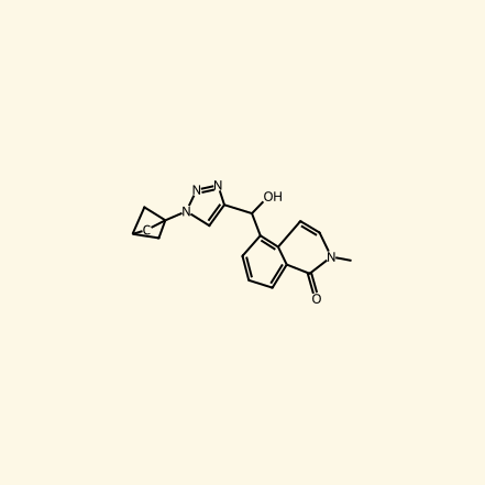 Cn1ccc2c(C(O)c3cn(C45CC(C4)C5)nn3)cccc2c1=O